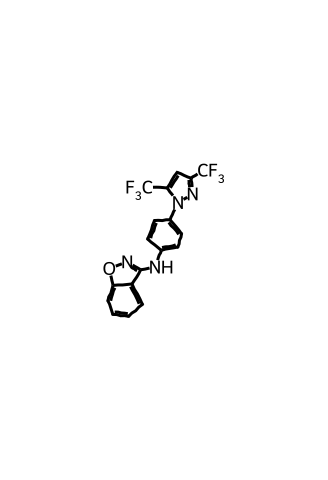 FC(F)(F)c1cc(C(F)(F)F)n(-c2ccc(Nc3noc4ccccc34)cc2)n1